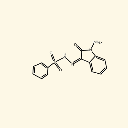 CCCCCCN1C(=O)/C(=N\NS(=O)(=O)c2ccccc2)c2ccccc21